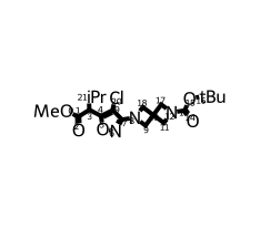 COC(=O)C(c1onc(N2CC3(CN(C(=O)OC(C)(C)C)C3)C2)c1Cl)C(C)C